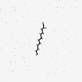 [CH2]CCCCC[CH]CCCCC